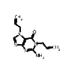 C=CCn1c(N)nc2ncn(CC=C)c2c1=O